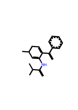 C=C(C1=CCC(C)C=C1NC(=C)C(C)C)c1ccccc1